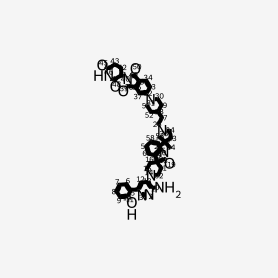 Nc1nnc(-c2ccccc2O)cc1N1CCC(C(=O)N2CC3(CCN(CCC4CCN(c5ccc6c(c5)C(=O)N(C5CCC(=O)NC5=O)C6=O)CC4)C3)C2)(c2ccccc2)CC1